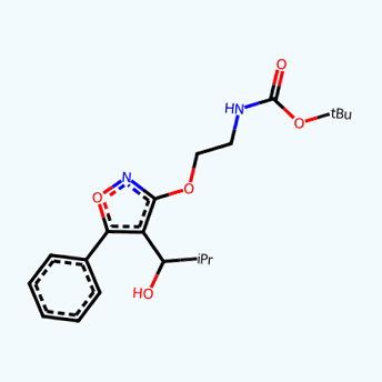 CC(C)C(O)c1c(OCCNC(=O)OC(C)(C)C)noc1-c1ccccc1